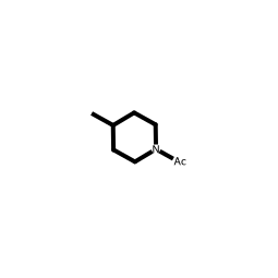 [CH2]C(=O)N1CCC(C)CC1